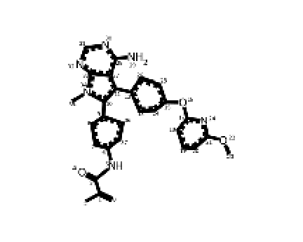 C=C(C)C(=O)Nc1ccc(-c2c(-c3ccc(Oc4cccc(OC)n4)cc3)c3c(N)ncnc3n2C)cc1